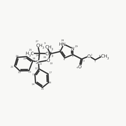 CCOC(=O)c1cc(C(C)O[Si](c2ccccc2)(c2ccccc2)C(C)(C)C)[nH]n1